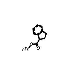 [CH2]CCOC(=O)C1CCc2ccccc21